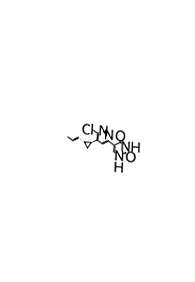 C/C=C/[C@H]1C[C@@H]1c1cc(-c2c[nH]c(=O)[nH]c2=O)nnc1Cl